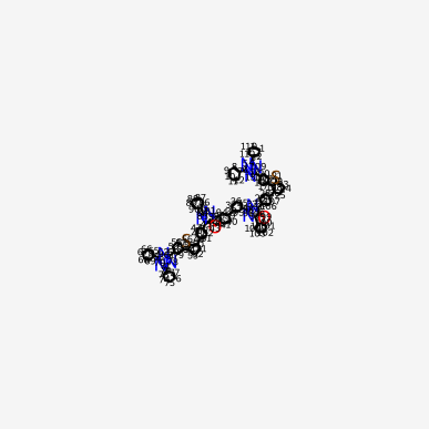 c1ccc(-c2nc(-c3ccccc3)nc(-c3ccc4c(c3)sc3cccc(-c5ccc(-c6nc(-c7cccc(-c8ccc9oc%10c(-c%11ccc(-c%12cccc%13c%12sc%12ccc(-c%14nc(-c%15ccccc%15)nc(-c%15ccccc%15)n%14)cc%12%13)cc%11)nc(-c%11ccccc%11)nc%10c9c8)c7)nc7c6oc6ccccc67)cc5)c34)n2)cc1